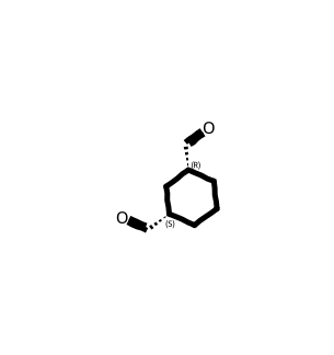 O=C[C@@H]1CCC[C@H](C=O)C1